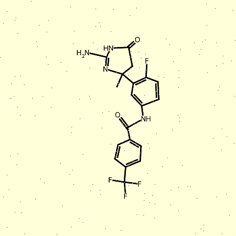 CC1(c2cc(NC(=O)c3ccc(C(F)(F)F)cc3)ccc2F)CC(=O)NC(N)=N1